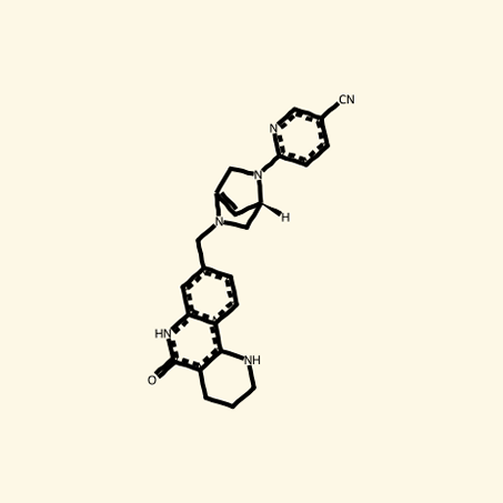 N#Cc1ccc(N2CC3=C[C@H]2CN3Cc2ccc3c4c(c(=O)[nH]c3c2)CCCN4)nc1